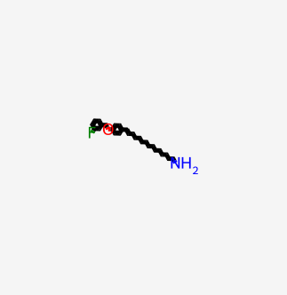 NCCCCCCCCCCCCCC=Cc1ccc(OCc2cccc(F)c2)cc1